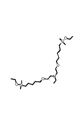 CCO[Si](C)(C)CCCCCOCCN(CC)CCOCCCCC[Si](C)(C)OCC